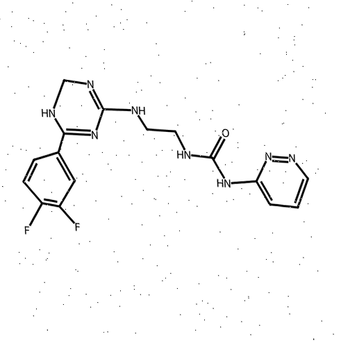 O=C(NCCNC1=NCNC(c2ccc(F)c(F)c2)=N1)Nc1cccnn1